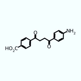 Nc1ccc(C(=O)CCC(=O)c2ccc(C(=O)O)cc2)cc1